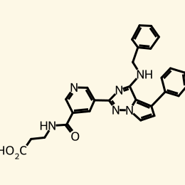 O=C(O)CCNC(=O)c1cncc(-c2nc(NCc3ccccc3)c3c(-c4ccccc4)ccn3n2)c1